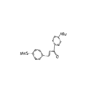 CCCCc1ccc(C(=O)C=Cc2ccc(SC)cc2)cc1